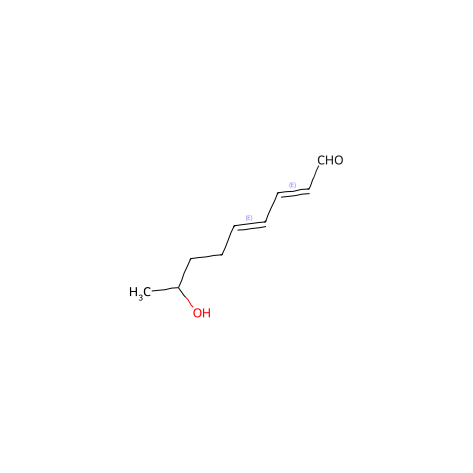 CC(O)CC/C=C/C=C/C=O